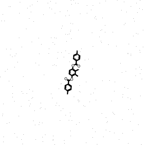 Cc1ccc(C(=O)Oc2ccc(OC(=O)c3ccc(C)cc3)c(C)c2C)cc1